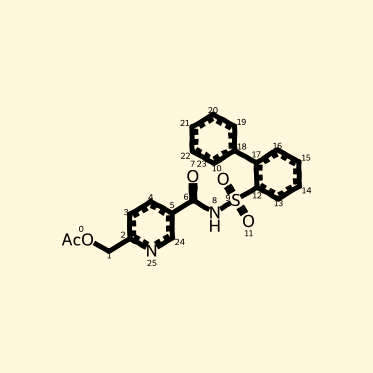 CC(=O)OCc1ccc(C(=O)NS(=O)(=O)c2ccccc2-c2ccccc2)cn1